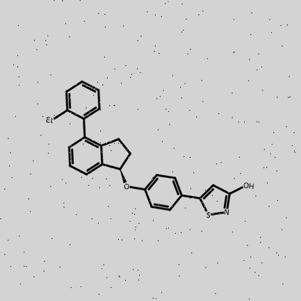 CCc1ccccc1-c1cccc2c1CC[C@H]2Oc1ccc(-c2cc(O)ns2)cc1